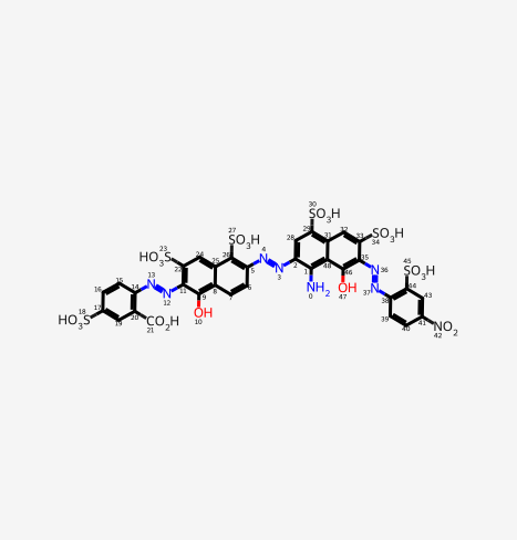 Nc1c(N=Nc2ccc3c(O)c(N=Nc4ccc(S(=O)(=O)O)cc4C(=O)O)c(S(=O)(=O)O)cc3c2S(=O)(=O)O)cc(S(=O)(=O)O)c2cc(S(=O)(=O)O)c(N=Nc3ccc([N+](=O)[O-])cc3S(=O)(=O)O)c(O)c12